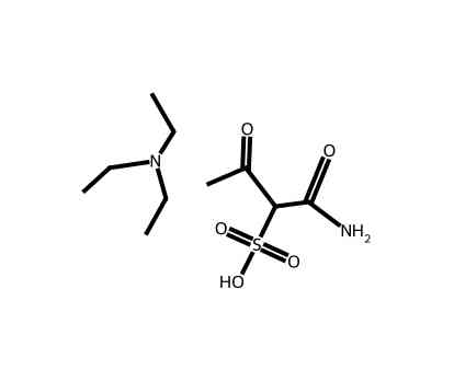 CC(=O)C(C(N)=O)S(=O)(=O)O.CCN(CC)CC